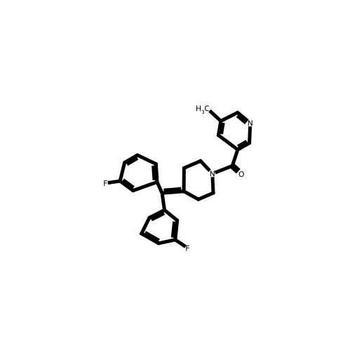 Cc1cncc(C(=O)N2CCC(=C(c3cccc(F)c3)c3cccc(F)c3)CC2)c1